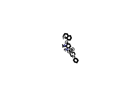 C/N=C1/C(Oc2cccc3cccnc23)=CC=C(S(=O)(=O)N2CCN(c3ccccc3)CC2)/C1=N/C